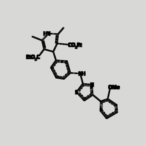 CCOC(=O)C1=C(C)NC(C)=C(C(=O)OCC)C1c1cccc(Nc2nc(-c3ccccc3OC)cs2)c1